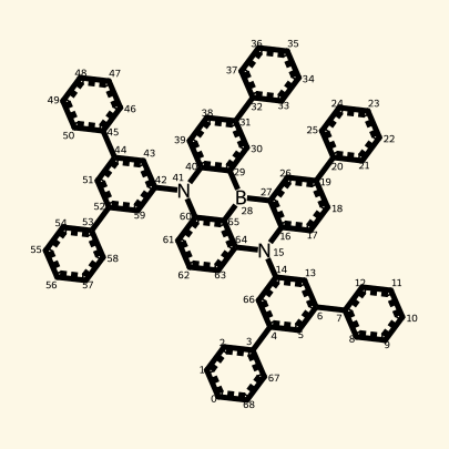 c1ccc(-c2cc(-c3ccccc3)cc(N3c4ccc(-c5ccccc5)cc4B4c5cc(-c6ccccc6)ccc5N(c5cc(-c6ccccc6)cc(-c6ccccc6)c5)c5cccc3c54)c2)cc1